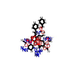 CCC1OC(OC2C(OC(C)=O)C(N=[N+]=[N-])CC(N=[N+]=[N-])C2OC2OC(C(CC)N(Cc3ccccc3)C(=O)OCc3ccccc3)CCC2N=[N+]=[N-])C(OC(C)=O)C1OC1OC(CN=[N+]=[N-])C(OC(C)=O)C(OC(C)=O)C1N=[N+]=[N-]